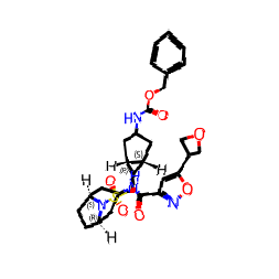 O=C(NC1C[C@@H]2C(CS(=O)(=O)N3[C@@H]4CC[C@H]3CC(NC(=O)c3cc(C5COC5)on3)C4)[C@@H]2C1)OCc1ccccc1